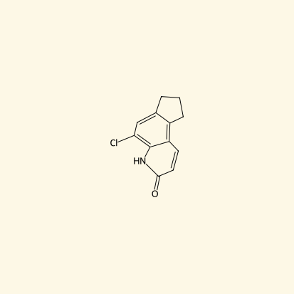 O=c1ccc2c3c(cc(Cl)c2[nH]1)CCC3